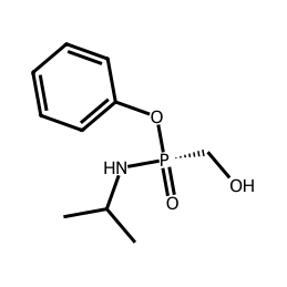 CC(C)N[P@@](=O)(CO)Oc1ccccc1